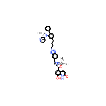 CC(C)(C)[Si](C)(C)O[C@@H](CNCc1ccc2nn(CCCCc3ccc(-c4ccccc4)c(N(C(=O)O)C4CN5CCC4CC5)c3)nc2c1)c1ccc(O)c2[nH]c(=O)ccc12